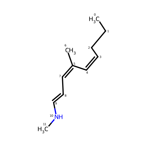 CCC\C=C/C(C)=C\C=C\NC